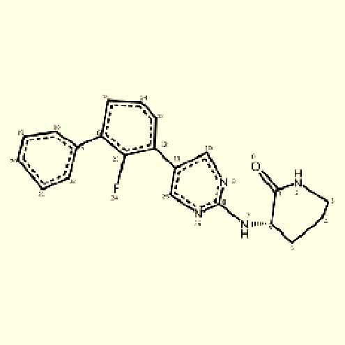 O=C1NCCC[C@@H]1Nc1ncc(-c2cccc(-c3ccccc3)c2F)cn1